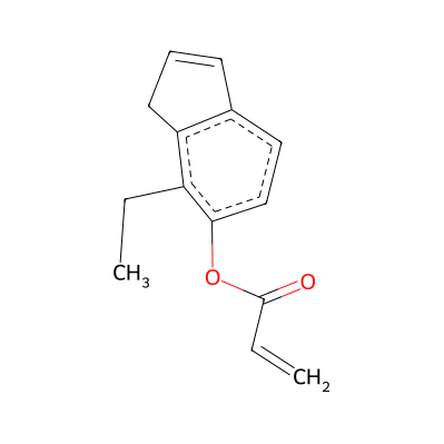 C=CC(=O)Oc1ccc2c(c1CC)CC=C2